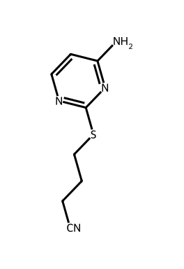 N#CCCCSc1nccc(N)n1